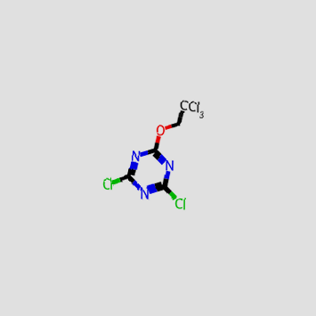 Clc1nc(Cl)nc(OCC(Cl)(Cl)Cl)n1